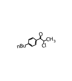 CCCCc1ccc(C(=O)C(C)Cl)cc1